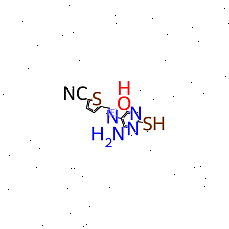 N#Cc1ccc(/C=N/c2c(N)nc(S)nc2O)s1